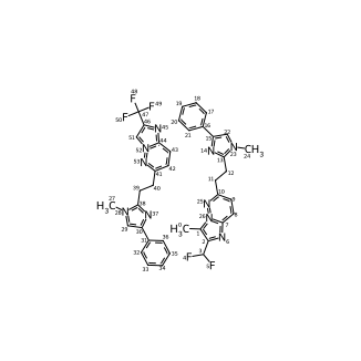 Cc1c(C(F)F)nc2ccc(CCc3nc(-c4ccccc4)cn3C)nn12.Cn1cc(-c2ccccc2)nc1CCc1ccc2nc(C(F)(F)F)cn2n1